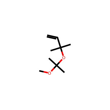 C=CC(C)(C)OC(C)(C)OC